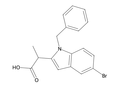 CC(C(=O)O)c1cc2cc(Br)ccc2n1Cc1ccccc1